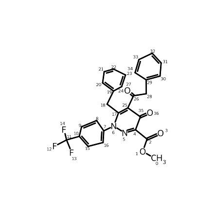 COC(=O)c1nn(-c2ccc(C(F)(F)F)cc2)c(Cc2ccccc2)c(C(=O)Cc2ccccc2)c1=O